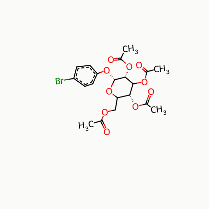 CC(=O)OCC1O[C@H](Oc2ccc(Br)cc2)[C@H](OC(C)=O)C(OC(C)=O)[C@@H]1OC(C)=O